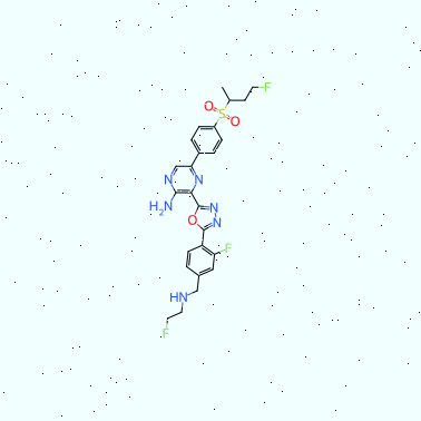 CC(CCF)S(=O)(=O)c1ccc(-c2cnc(N)c(-c3nnc(-c4ccc(CNCCF)cc4F)o3)n2)cc1